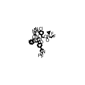 CC(C)(C)CC1(c2ccc(-c3cnn(C(F)F)c3)cc2)NC(=NC(=O)OCc2ccccc2)N(C(COC(=O)N(CC(F)F)C2CC2)c2ccc(Cl)c(-n3cncn3)c2)C1=O